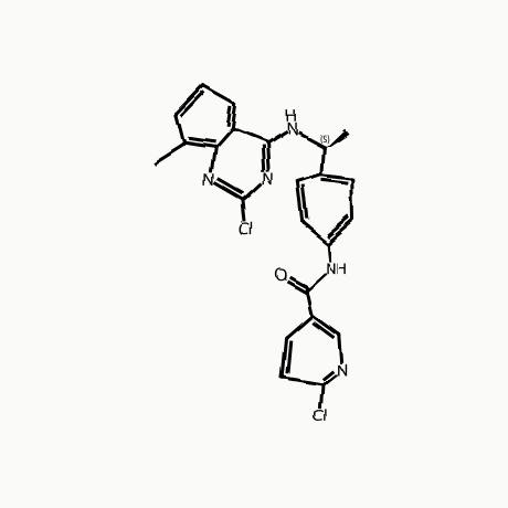 Cc1cccc2c(N[C@@H](C)c3ccc(NC(=O)c4ccc(Cl)nc4)cc3)nc(Cl)nc12